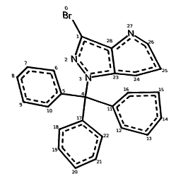 Brc1nn(C(c2ccccc2)(c2ccccc2)c2ccccc2)c2cccnc12